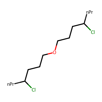 CCCC(Cl)CCCOCCCC(Cl)CCC